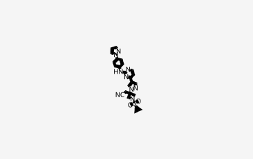 N#CCC1(n2cc(-c3ccnc(Nc4ccc(-n5cccn5)cc4)n3)cn2)CN(S(=O)(=O)C2CC2)C1